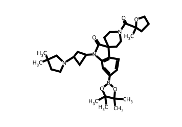 CC1(C)CCN(C2CC(N3C(=O)C4(CCN(C(=O)C5(C)CCCO5)CC4)c4ccc(B5OC(C)(C)C(C)(C)O5)cc43)C2)C1